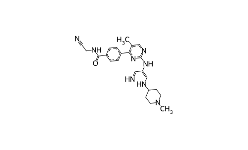 Cc1cnc(N/C(C=N)=C/NC2CCN(C)CC2)nc1-c1ccc(C(=O)NCC#N)cc1